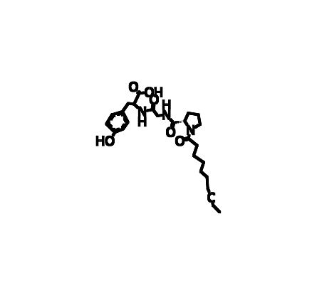 CCCCCCCCCC(=O)N1CCC[C@H]1C(=O)NCC(=O)NC(Cc1ccc(O)cc1)C(=O)O